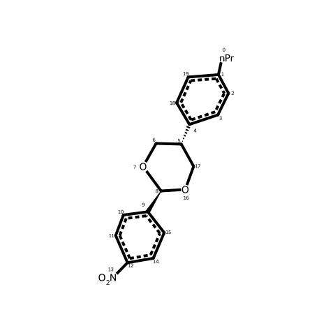 CCCc1ccc([C@H]2CO[C@H](c3ccc([N+](=O)[O-])cc3)OC2)cc1